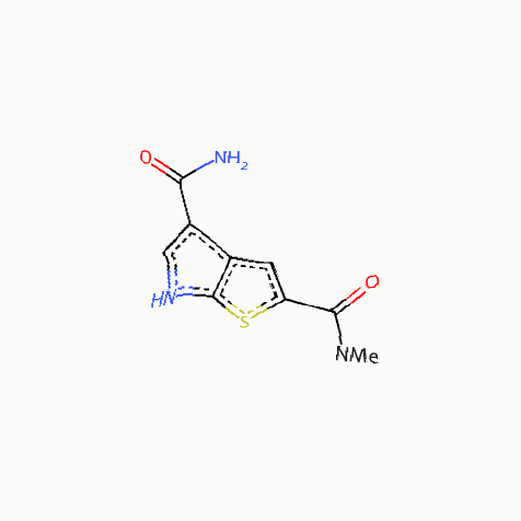 CNC(=O)c1cc2c(C(N)=O)c[nH]c2s1